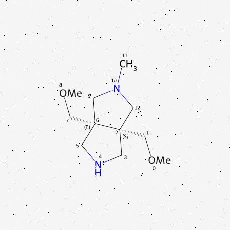 COC[C@]12CNC[C@@]1(COC)CN(C)C2